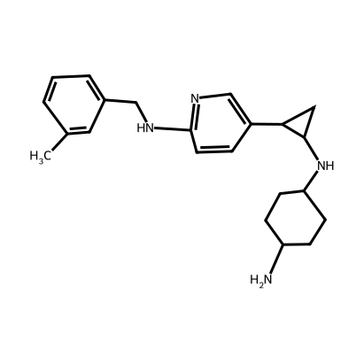 Cc1cccc(CNc2ccc(C3CC3NC3CCC(N)CC3)cn2)c1